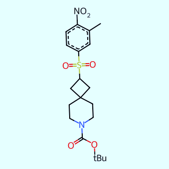 Cc1cc(S(=O)(=O)C2CC3(CCN(C(=O)OC(C)(C)C)CC3)C2)ccc1[N+](=O)[O-]